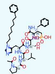 CC(=O)N1CCC[C@H]1C(=O)N[C@@H](CC(C)C)C(=O)N[C@@H](Cc1cncn1CCCCCCCCc1ccccc1)C(=O)N[C@@H](CO)C(=O)N[C@@H](C(N)=O)[C@H](Cc1ccccc1)CP(=O)(O)O